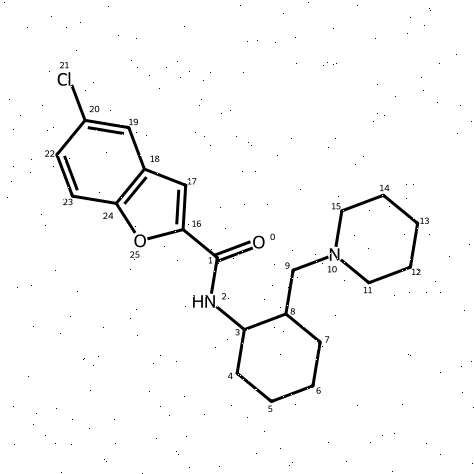 O=C(NC1CCCCC1CN1CCCCC1)c1cc2cc(Cl)ccc2o1